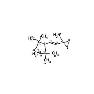 CC(C)(C)C(C=CC1(N)CC1)C(C)(C)C